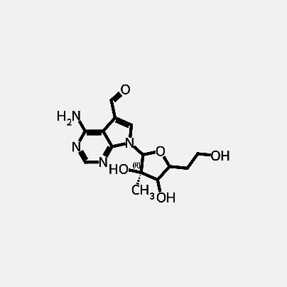 C[C@@]1(O)C(O)C(CCO)OC1n1cc(C=O)c2c(N)ncnc21